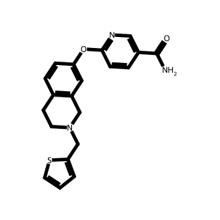 NC(=O)c1ccc(Oc2ccc3c(c2)CN(Cc2cccs2)CC3)nc1